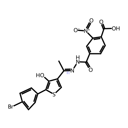 C/C(=N\NC(=O)c1ccc(C(=O)O)c([N+](=O)[O-])c1)c1csc(-c2ccc(Br)cc2)c1O